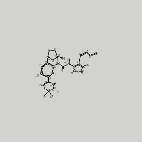 C=C/C=C\c1c(NC(=C)N2c3nc(C(=C)N[C@H](C)C(C)(F)F)ccc3N3CC[C@H]2C3)n[nH]c1C